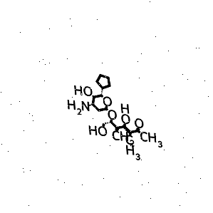 C=C(/C(O)=C(\C)C(C)=O)[C@H](CO)OC1C[C@H](N)[C@H](O)[C@H](C2CCCC2)O1